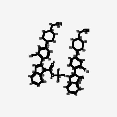 CC(C)(C)OC(=O)n1c(-c2ccc(N3CCC(CO)CC3)nc2F)cc2cccnc21.OCC1CCN(c2ccc(-c3cc4cccnc4[nH]3)c(F)n2)CC1